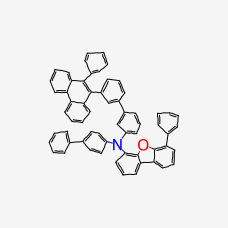 c1ccc(-c2ccc(N(c3cccc(-c4cccc(-c5c(-c6ccccc6)c6ccccc6c6ccccc56)c4)c3)c3cccc4c3oc3c(-c5ccccc5)cccc34)cc2)cc1